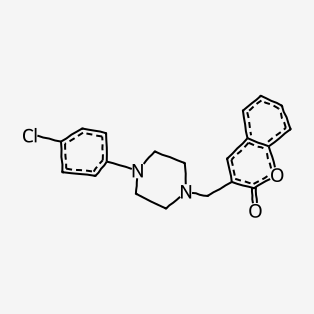 O=c1oc2ccccc2cc1CN1CCN(c2ccc(Cl)cc2)CC1